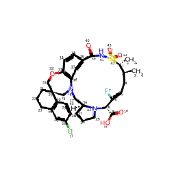 C[C@@H]1[C@@H](C)C/C=C(\F)[C@H](C(=O)O)N2CCC[C@H]2CN2C[C@@]3(CCCc4cc(Cl)ccc43)COc3ccc(cc32)C(=O)NS1(=O)=O